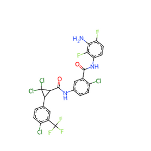 Nc1c(F)ccc(NC(=O)c2cc(NC(=O)C3C(c4ccc(Cl)c(C(F)(F)F)c4)C3(Cl)Cl)ccc2Cl)c1F